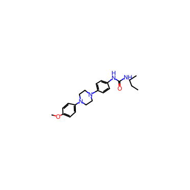 CCC(C)NC(=O)Nc1ccc(N2CCN(c3ccc(OC)cc3)CC2)cc1